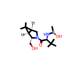 CB(O)N[C@H](C(=O)N1C[C@H]2[C@@H]([C@H]1CO)C2(C)C)C(C)(C)C